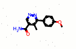 COc1ccc(-c2nncc(C(N)=O)c2C)cc1